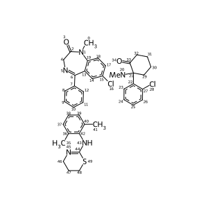 CN1C(=O)CN=C(c2ccccc2)c2cc(Cl)ccc21.CNC1(c2ccccc2Cl)CCCCC1=O.Cc1cccc(C)c1NC1=NCCCS1